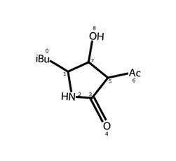 CCC(C)C1NC(=O)C(C(C)=O)C1O